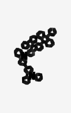 c1ccc(-c2c3ccccc3c(-c3ccc4c(c3)C3(c5ccccc5-c5ccccc53)c3cc(-n5c6ccccc6c6ccc(-c7ccc8c(c7)c7ccccc7n8-c7ccccc7)cc65)ccc3-4)c3ccccc23)cc1